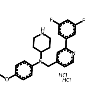 COc1ccc(N(Cc2ccnc(-c3cc(F)cc(F)c3)c2)C2CCNCC2)cc1.Cl.Cl